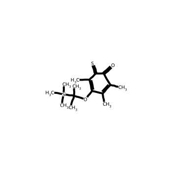 CC1=C(C)C(OC(C)(C)[Si](C)(C)C)=C(C)C(=S)C1=O